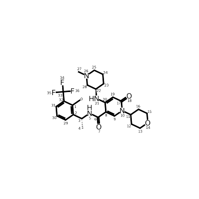 Cc1c([C@@H](C)NC(=O)c2cn(C3CCOCC3)c(=O)cc2N[C@@H]2CCCN(C)C2)cccc1C(F)(F)F